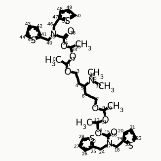 CC(OCCC(CCOC(C)OC(C)OC(=O)N(Cc1cccs1)Cc1cccs1)N(C)C)OC(C)OC(=O)N(Cc1cccs1)Cc1cccs1